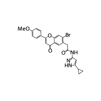 COc1ccc(-c2cc(=O)c3cc(CC(=O)Nc4cc(C5CC5)[nH]n4)c(Br)cc3o2)cc1